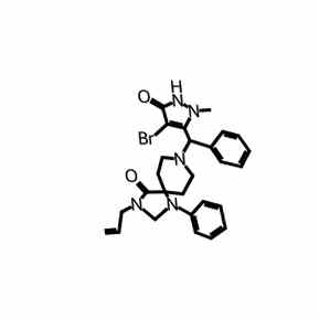 C=CCN1CN(c2ccccc2)C2(CCN(C(c3ccccc3)c3c(Br)c(=O)[nH]n3C)CC2)C1=O